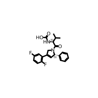 CC(C)[C@H](NC(=O)O)C(=O)N1CC(c2cc(F)ccc2F)=C[C@H]1c1ccccc1